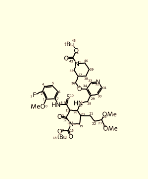 COc1c(F)cccc1NC(=S)C1C(=O)N(C(=O)OC(C)(C)C)CC(CCC(OC)OC)C1NCc1ccncc1OCC1CCCN(C(=O)OC(C)(C)C)C1